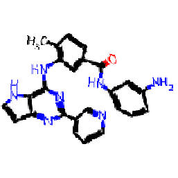 Cc1ccc(C(=O)Nc2cccc(N)c2)cc1Nc1nc(-c2cccnc2)nc2cc[nH]c12